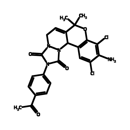 CC(=O)c1ccc(-n2c(=O)n3n(c2=O)C2C(=CC3)C(C)(C)Oc3c2cc(Cl)c(N)c3Cl)cc1